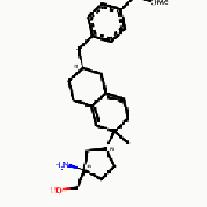 COCc1ccc(C[C@@H]2CCC3=CC(C)([C@H]4CC[C@](N)(CO)C4)CC=C3C2)cc1